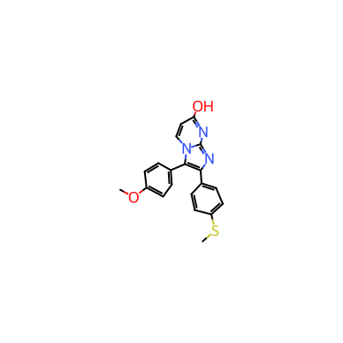 COc1ccc(-c2c(-c3ccc(SC)cc3)nc3nc(O)ccn23)cc1